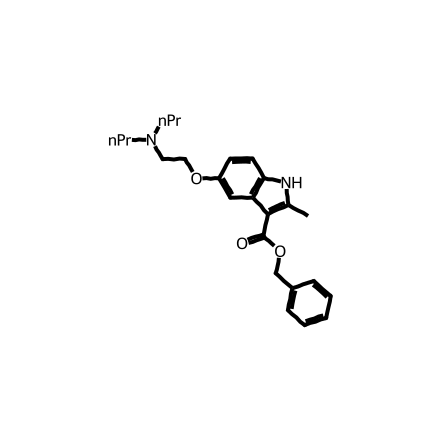 CCCN(CCC)CCOc1ccc2[nH]c(C)c(C(=O)OCc3ccccc3)c2c1